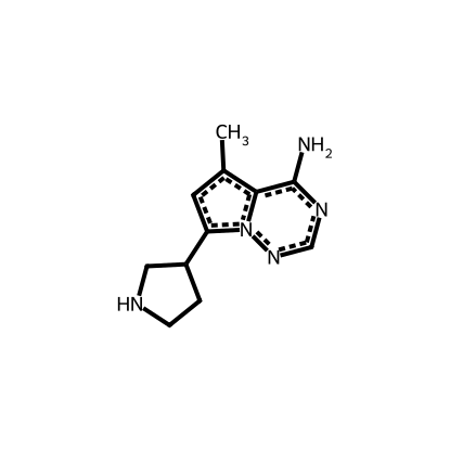 Cc1cc(C2CCNC2)n2ncnc(N)c12